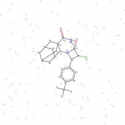 CC(C)(C)c1ccc(C2C(Cl)C(=O)N2C2C3CC4CC(C3)CC2(C(N)=O)C4)cc1